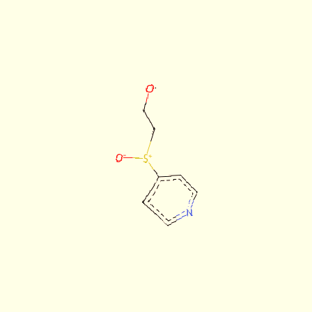 [O]CC[S+]([O-])c1ccncc1